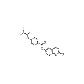 O=C(Oc1ccc2oc(=O)ccc2c1)c1ccc(OC(F)=C(F)F)cc1